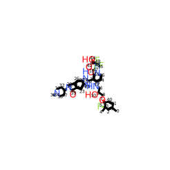 CC1=CC(C)(F)C(OCC(O)CNc2cc[nH]c(=O)c2-c2nc3cc4c(cc3[nH]2)CN(C2CCN(C)CC2)C4=O)C=C1.O=C(O)C(F)(F)F